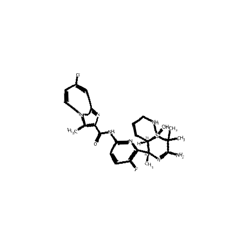 Cc1c(C(=O)Nc2ccc(F)c([C@@]3(C)N=C(N)C(C)(C)S4(O)NCCC[C@@H]34)n2)nc2cc(Cl)ccn12